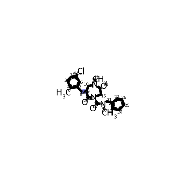 Cc1ccc(Cl)cc1/C=C1\CN(C)C(=O)CN(C(=O)N(C)Cc2ccccc2)C1=O